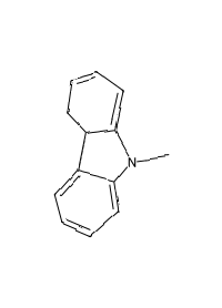 CN1C2=CC=CCC2c2ccccc21